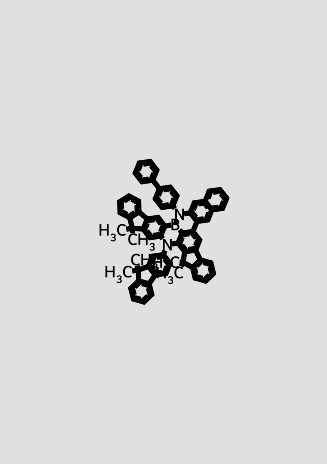 CC1(C)c2ccccc2-c2ccc(N3c4cc5c(cc4B4c6c(cc7c(c63)C(C)(C)c3ccccc3-7)-c3cc6ccccc6cc3N4c3ccc(-c4ccccc4)cc3)-c3ccccc3C5(C)C)cc21